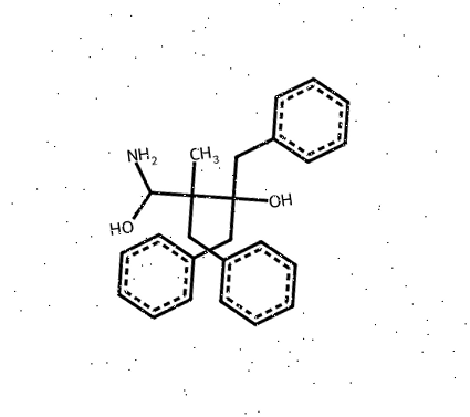 CC(Cc1ccccc1)(C(N)O)C(O)(Cc1ccccc1)Cc1ccccc1